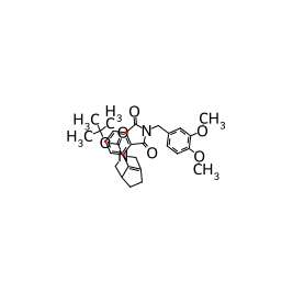 COc1ccc(CN2C(=O)c3cccc(C4=C5CCC4CN(C(=O)OC(C)(C)C)C5)c3C2=O)cc1OC